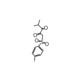 Cc1ccc(S(=O)(=O)CC(=O)C(=O)C(C)C)cc1